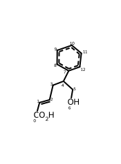 O=C(O)C=CCC(CO)c1ccccc1